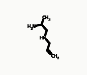 C=CCNCC(C)N